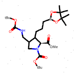 COC(=O)[C@@H]1C(CCCB2OC(C)(C)C(C)(C)O2)C(CNC(=O)OC(C)(C)C)CN1C(=O)OC(C)(C)C